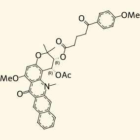 COc1ccc(C(=O)CCCC(=O)O[C@@H]2[C@H](OC(C)=O)c3c(cc(OC)c4c(=O)c5cc6ccccc6cc5n(C)c34)OC2(C)C)cc1